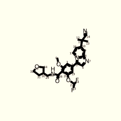 COc1cc(-c2cnc3cc(C(C)(C)C#N)ccn23)cc(OC(F)F)c1C(=O)NCC1CCOC1